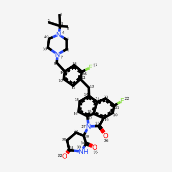 CC(C)(C)N1CCN(Cc2ccc(Cc3ccc4c5c(cc(F)cc35)C(=O)N4C3CCC(=O)NC3=O)c(F)c2)CC1